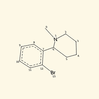 CN1CCCCC1c1ccccc1Br